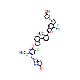 COc1nc(O[C@H]2CCc3c(-c4cccc(-c5cc6cc7c(c(C(F)(F)F)c6o5)CC[C@H]7N5CC[C@@H](O)C5)c4C)cccc32)c(Cl)cc1CN1CC2(CCC(=O)N2)C1